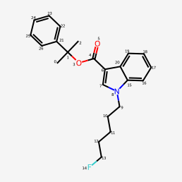 CC(C)(OC(=O)c1cn(CCCCCF)c2ccccc12)c1ccccc1